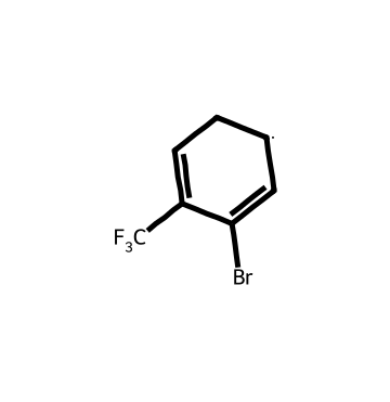 FC(F)(F)C1=CC[CH]C=C1Br